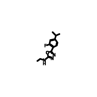 CCNc1nnc(-c2ccc(C(C)C)cc2F)o1